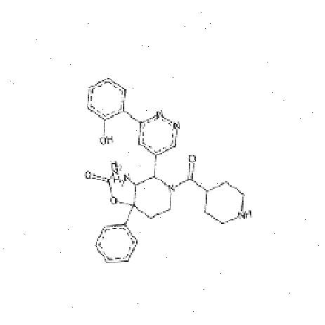 NC(=O)OC1(c2ccccc2)CCN(C(=O)C2CCNCC2)C(c2cnnc(-c3ccccc3O)c2)C1N